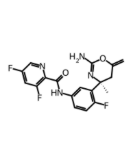 C=C1C[C@@](C)(c2cc(NC(=O)c3ncc(F)cc3F)ccc2F)N=C(N)O1